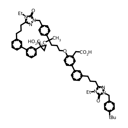 CCn1c(CCCc2cccc(-c3cccc(C4(C(=O)O)CC4)c3)c2)nn(Cc2ccc(C(C)(C)CCCOc3ccc(-c4cccc(CCCc5nn(Cc6ccc(C(C)(C)C)cc6)c(=O)n5CC)c4)cc3CC(=O)O)cc2)c1=O